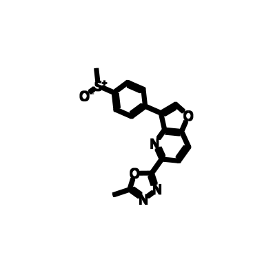 Cc1nnc(-c2ccc3occ(-c4ccc([S+](C)[O-])cc4)c3n2)o1